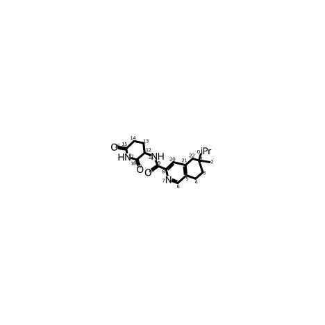 CC(C)C1(C)CCc2cnc(C(=O)NC3CCC(=O)NC3=O)cc2C1